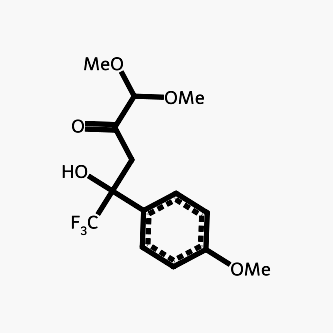 COc1ccc(C(O)(CC(=O)C(OC)OC)C(F)(F)F)cc1